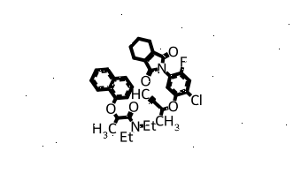 C#CC(C)Oc1cc(N2C(=O)C3=C(CCCC3)C2=O)c(F)cc1Cl.CCN(CC)C(=O)C(C)Oc1cccc2ccccc12